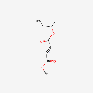 CC(C)CC(C)OC(=O)/C=C/C(=O)OC(C)C